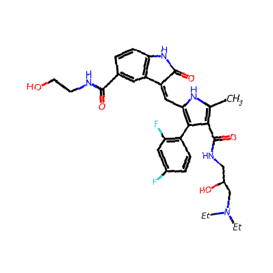 CCN(CC)CC(O)CNC(=O)c1c(C)[nH]c(C=C2C(=O)Nc3ccc(C(=O)NCCO)cc32)c1-c1ccc(F)cc1F